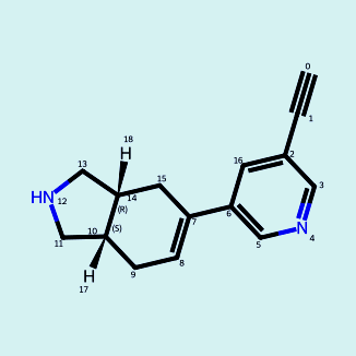 C#Cc1cncc(C2=CC[C@@H]3CNC[C@@H]3C2)c1